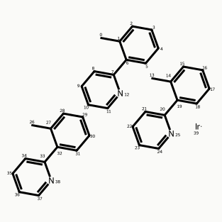 Cc1ccccc1-c1ccccn1.Cc1ccccc1-c1ccccn1.Cc1ccccc1-c1ccccn1.[Ir]